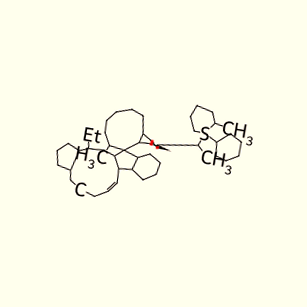 CCC1CC2C(C=CCCCC3CCCC31)C1CCCCC1C21C(C)CCCCCC2CCCC(C(C)S3(C4CCCCC4)CCCCC3C)CCCCCC21